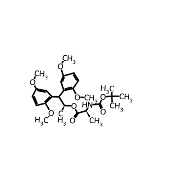 COc1ccc(OC)c(C(c2cc(OC)ccc2OC)[C@H](C)OC(=O)[C@H](C)NC(=O)OC(C)(C)C)c1